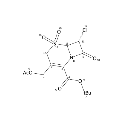 CC(=O)OCC1=C(C(=O)OC(C)(C)C)N2C(=O)[C@@H](Cl)C2S(=O)(=O)C1